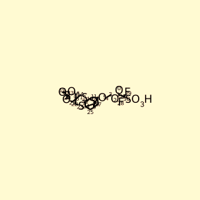 O=C(OCCOC12CC3CC(C1)C1(SCC4(COS(=O)OC4)CS1)C(C3)C2)C(F)(F)S(=O)(=O)O